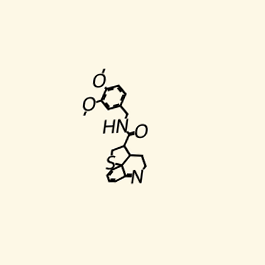 COc1ccc(CNC(=O)C2CSC34C=CC=CC3=NCCC24)cc1OC